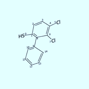 Sc1ccc(Cl)c(Cl)c1-c1ccccc1